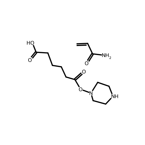 C=CC(N)=O.O=C(O)CCCCC(=O)ON1CCNCC1